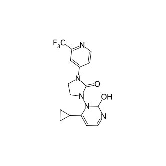 O=C1N(c2ccnc(C(F)(F)F)c2)CCN1N1C(C2CC2)=CC=NC1O